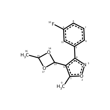 Cc1onc(-c2cccc(F)c2)c1C1OC(C)O1